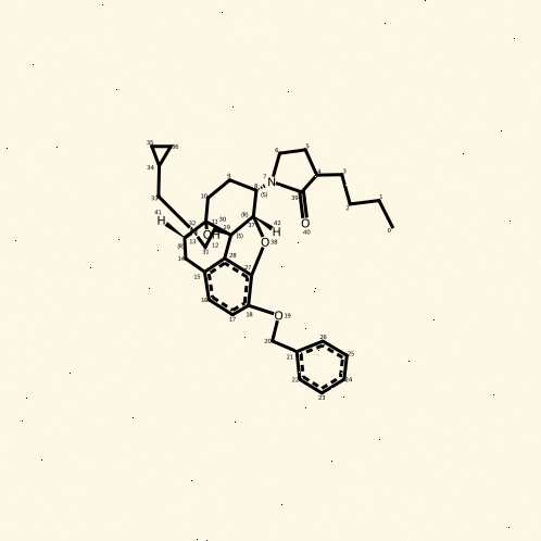 CCCCC1CCN([C@H]2CCC3(O)[C@H]4Cc5ccc(OCc6ccccc6)c6c5[C@@]3(CCN4CC3CC3)[C@H]2O6)C1=O